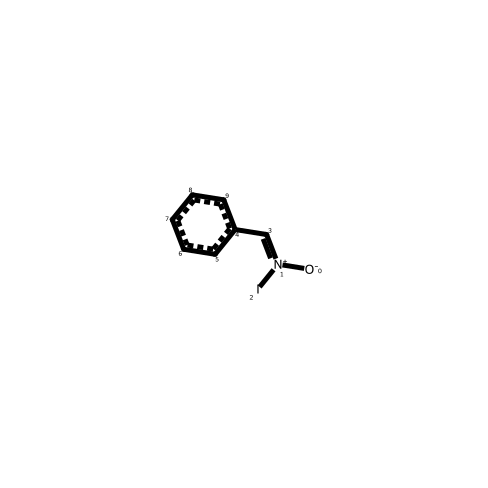 [O-][N+](I)=Cc1ccccc1